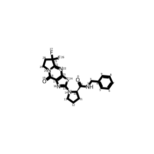 O=C(NCc1ccccc1)[C@H]1CCCN1c1nc2c(=O)n3c(nc2s1)C(F)(F)CC3